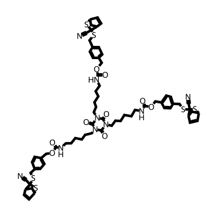 N#CC1(SCc2ccc(COC(=O)NCCCCCCn3c(=O)n(CCCCCCNC(=O)OCc4ccc(CSC5(C#N)SC6C=CC5C6)cc4)c(=O)n(CCCCCCNC(=O)OCc4ccc(CSC5(C#N)SC6C=CC5C6)cc4)c3=O)cc2)SC2C=CC1C2